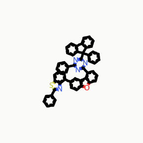 c1ccc(-c2nc(-c3cccc4oc5ccc(-c6cccc7sc(-c8ccccc8)nc67)cc5c34)nc(C3(c4ccccc4)c4ccccc4-c4ccccc43)n2)cc1